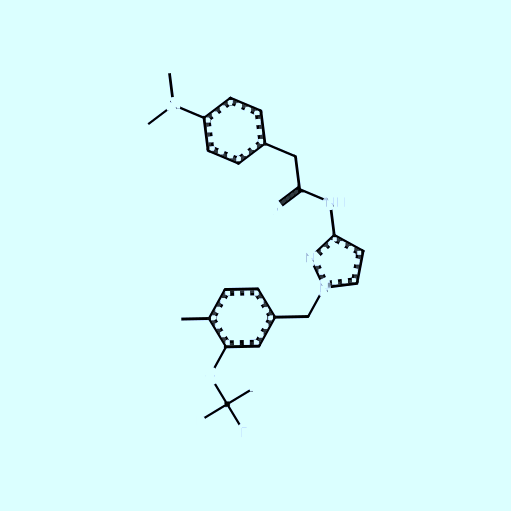 CN(C)c1ccc(CC(=O)Nc2ccn(Cc3ccc(F)c(OC(F)(F)F)c3)n2)cc1